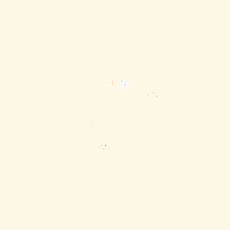 COc1ccc(C23Oc4cc(C#N)cnc4C2(O)CCC3c2ccccc2)cc1